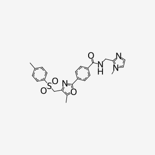 Cc1ccc(S(=O)(=O)Cc2nc(-c3ccc(C(=O)NCc4nccn4C)cc3)oc2C)cc1